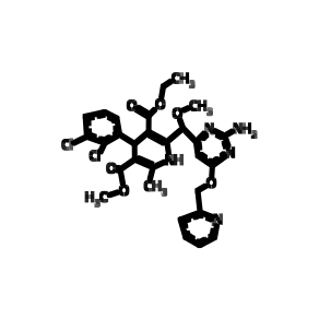 CCOC(=O)C1=C(C(OC)c2cc(OCc3ccccn3)nc(N)n2)NC(C)=C(C(=O)OC)C1c1cccc(Cl)c1Cl